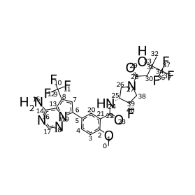 COc1ccc(-c2cc(C(F)(F)F)c3c(N)ncnn23)cc1C(=O)N[C@@H]1CN(C(=O)CC(C)(O)C(F)(F)F)C[C@@H]1F